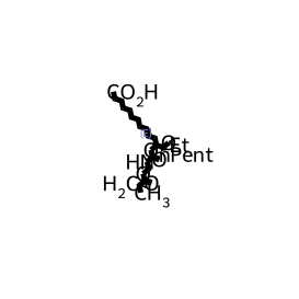 C=C(C)C(=O)OCNC(=O)OC(C/C=C/CCCCCCCC(=O)O)C(CCCCC)OCC